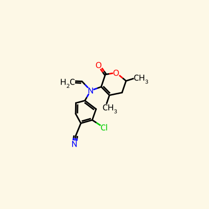 C=CN(C1=C(C)CC(C)OC1=O)c1ccc(C#N)c(Cl)c1